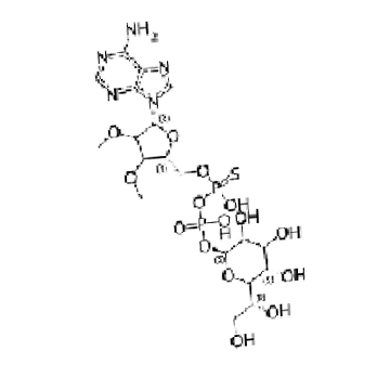 COC1C(OC)[C@@H](COP(O)(=S)OP(=O)(O)O[C@@H]2OC([C@H](O)CO)[C@@H](O)C(O)C2O)O[C@H]1n1cnc2c(N)ncnc21